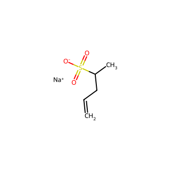 C=CCC(C)S(=O)(=O)[O-].[Na+]